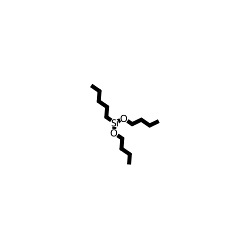 CCCCC[Si](OCCCC)OCCCC